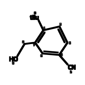 CC(C)(C)c1ccc(C#N)cc1CO